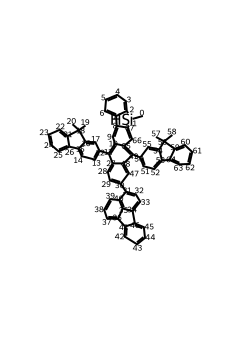 C[SiH]1c2ccccc2-c2cc3c(-c4ccc5c(c4)C(C)(C)c4ccccc4-5)c4ccc(-c5ccc6c7c(cccc57)-c5ccccc5-6)cc4c(-c4ccc5c(c4)C(C)(C)c4ccccc4-5)c3cc21